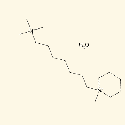 C[N+](C)(C)CCCCCCC[N+]1(C)CCCCC1.O